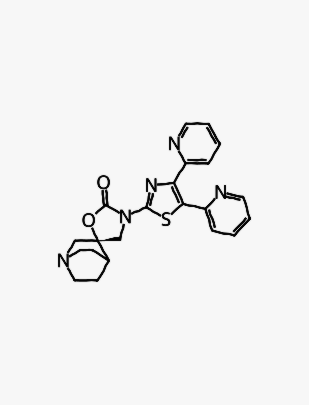 O=C1O[C@]2(CN3CCC2CC3)CN1c1nc(-c2ccccn2)c(-c2ccccn2)s1